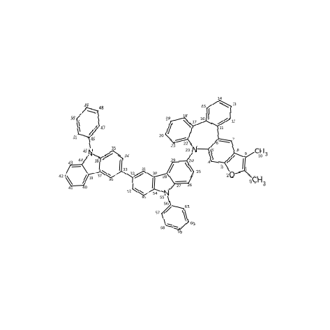 Cc1oc2cc3c(cc2c1C)-c1ccccc1-c1ccccc1N3c1ccc2c(c1)c1cc(-c3ccc4c(c3)c3ccccc3n4-c3ccccc3)ccc1n2-c1ccccc1